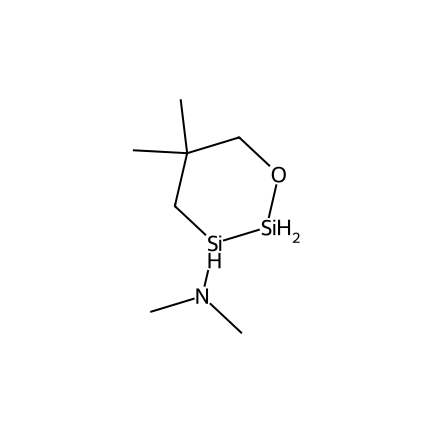 CN(C)[SiH]1CC(C)(C)CO[SiH2]1